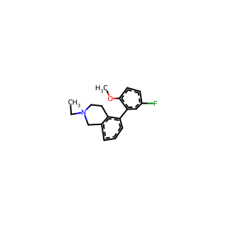 CCN1CCc2c(cccc2-c2cc(F)ccc2OC)C1